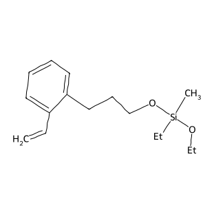 C=Cc1ccccc1CCCO[Si](C)(CC)OCC